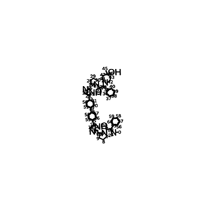 CN(C)[C@@H](C(=O)N1CCC[C@H]1c1ncc(-c2ccc(-c3ccc(-c4cnc([C@@H]5CCCN5C(=O)[C@@H](c5ccccc5)N5CCC(C)(O)CC5)[nH]4)cc3)cc2)[nH]1)c1ccccc1